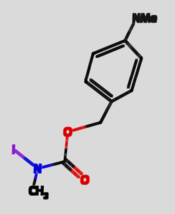 CNc1ccc(COC(=O)N(C)I)cc1